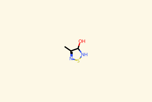 CC1=NSNC1O